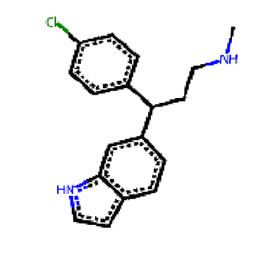 CNCCC(c1ccc(Cl)cc1)c1ccc2cc[nH]c2c1